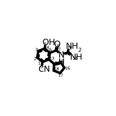 N#Cc1ccc(O)c(C(=O)NC(=N)N)c1C1=CCCC1